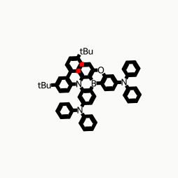 CC(C)(C)c1ccc(-c2cc(C(C)(C)C)ccc2N2c3cc(N(c4ccccc4)c4ccccc4)ccc3B3c4ccc(N(c5ccccc5)c5ccccc5)cc4Oc4cccc2c43)cc1